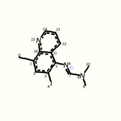 Cc1cc(I)c(/N=C/N(C)C)c2cccnc12